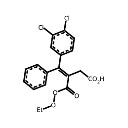 CCOOC(=O)C(CC(=O)O)=C(c1ccccc1)c1ccc(Cl)c(Cl)c1